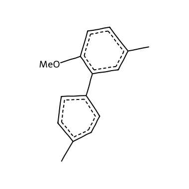 COc1ccc(C)cc1-c1ccc(C)cc1